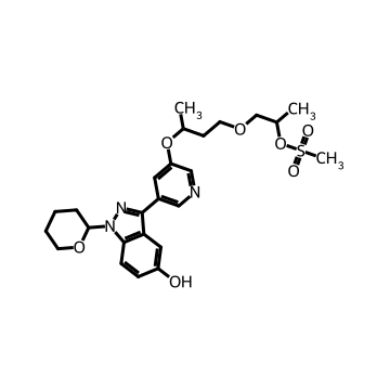 CC(CCOCC(C)OS(C)(=O)=O)Oc1cncc(-c2nn(C3CCCCO3)c3ccc(O)cc23)c1